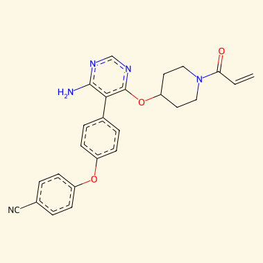 C=CC(=O)N1CCC(Oc2ncnc(N)c2-c2ccc(Oc3ccc(C#N)cc3)cc2)CC1